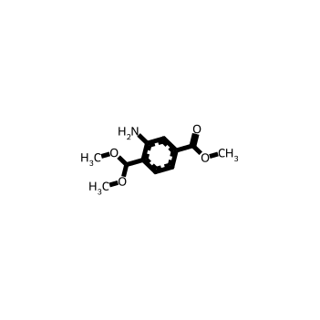 COC(=O)c1ccc(C(OC)OC)c(N)c1